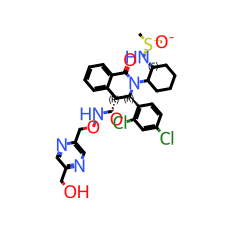 C[S+]([O-])N[C@H]1CCCCC1N1C(=O)c2ccccc2[C@@H](C(=O)NOCc2cnc(CO)cn2)[C@@H]1c1ccc(Cl)cc1Cl